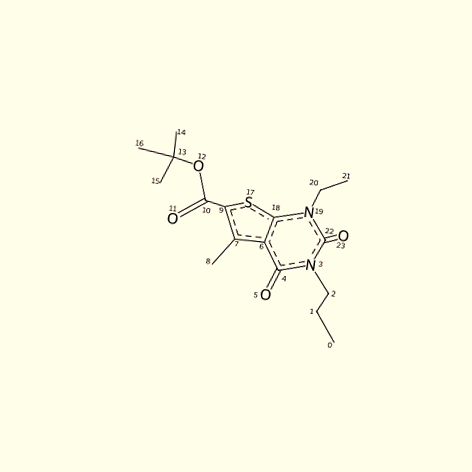 CCCn1c(=O)c2c(C)c(C(=O)OC(C)(C)C)sc2n(CC)c1=O